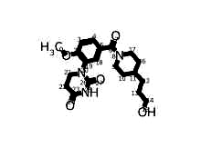 COc1ccc(C(=O)N2CCC(CCCO)CC2)cc1N1CCC(=O)NC1=O